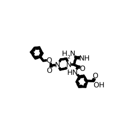 N=C(N)C(C(=O)Nc1cccc(C(=O)O)c1)N1CCN(C(=O)OCc2ccccc2)CC1